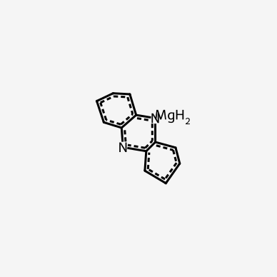 [MgH2].c1ccc2nc3ccccc3nc2c1